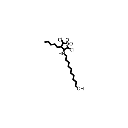 CCCCCC1C(NCCCCCCCCCCO)C(Cl)S(=O)(=O)C1Cl